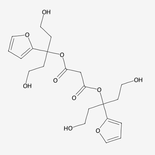 O=C(CC(=O)OC(CCO)(CCO)c1ccco1)OC(CCO)(CCO)c1ccco1